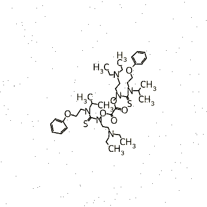 CCN(CC)CCN(OC(=O)C(=O)ON(CCN(CC)CC)C(=S)N(CCOc1ccccc1)C(C)C)C(=S)N(CCOc1ccccc1)C(C)C